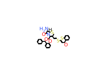 N[C@@H]1C(=O)N2C(C(=O)OC(c3ccccc3)c3ccccc3)=C(/C=C/Sc3cc(=O)c4ccccc4s3)CS[C@H]12